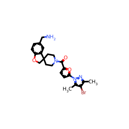 Cc1nn(-c2ccc(C(=O)N3CCC4(CC3)COc3ccc(CN)cc34)o2)c(C)c1Br